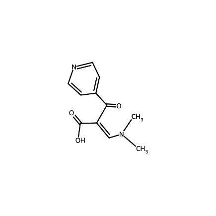 CN(C)/C=C(/C(=O)O)C(=O)c1ccncc1